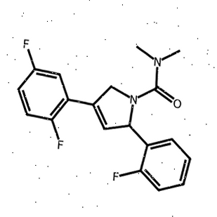 CN(C)C(=O)N1CC(c2cc(F)ccc2F)=CC1c1ccccc1F